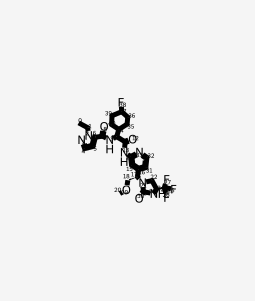 CCn1nccc1C(=O)NC(C(=O)Nc1cc([C@@H](COC)N2C[C@@H](C(F)(F)F)NC2=O)ccn1)C1CCC(F)CC1